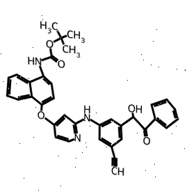 C#Cc1cc(Nc2cc(Oc3ccc(NC(=O)OC(C)(C)C)c4ccccc34)ccn2)cc(C(O)C(=O)c2ccccc2)c1